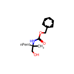 CCCCC[C@@](C)(CO)NC(=O)OCc1ccccc1